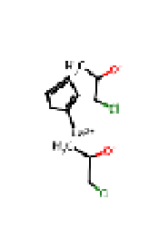 CC([O-])CCl.CC([O-])CCl.[La+2][C]1=CC=CC1